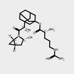 N#C[C@@H]1C[C@@H]2C[C@@H]2N1C(=O)[C@@H](N)C12CC3CC(CC(OC(=O)[C@H](N)CCCNC(=N)N)(C3)C1)C2